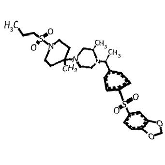 CCCS(=O)(=O)N1CCC(C)(N2CCN([C@@H](C)c3ccc(S(=O)(=O)c4ccc5c(c4)OCO5)cc3)[C@H](C)C2)CC1